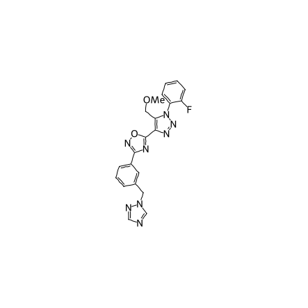 COCc1c(-c2nc(-c3cccc(Cn4cncn4)c3)no2)nnn1-c1ccccc1F